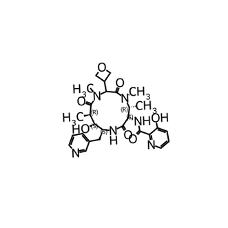 C[C@@H]1[C@H](NC(=O)c2ncccc2O)C(=O)N[C@@H](Cc2cccnc2)[C@@H](O)[C@@H](C)C(=O)N(C)C(C2COC2)C(=O)N1C